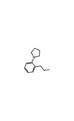 CCCc1ccccc1N1CCCC1